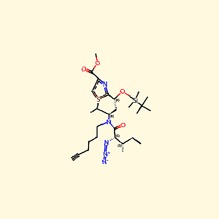 C#CCCCCN(C(=O)[C@@H](N=[N+]=[N-])[C@@H](C)CC)[C@H](C[C@@H](O[Si](C)(C)C(C)(C)C)c1nc(C(=O)OC)cs1)C(C)C